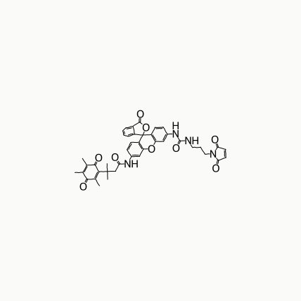 CC1=C(C)C(=O)C(C(C)(C)CC(=O)Nc2ccc3c(c2)Oc2cc(NC(=O)NCCCN4C(=O)C=CC4=O)ccc2C32OC(=O)c3ccccc32)=C(C)C1=O